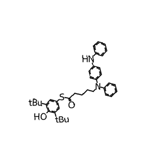 CC(C)(C)c1cc(SC(=O)CCCCN(c2ccccc2)c2ccc(Nc3ccccc3)cc2)cc(C(C)(C)C)c1O